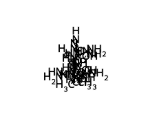 CC(C)C[C@H](NC(=O)[C@H](CCCNC(=N)N)NC(=O)[C@H](Cc1ccc(O)cc1)NC(=O)[C@H](Cc1ccccc1)NC(=O)[C@H](CCCNC(=N)N)NC(=O)[C@@H](N)Cc1c[nH]cn1)C(=O)N[C@@H](C)C(=O)N[C@@H](CC(N)=O)C(=O)O